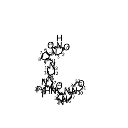 O=C1CCN(c2ccccc2CN2CCC(n3cc(NC(=O)c4cnn5ccc(N6CCOCC6)nc45)c(C(F)F)n3)CC2)C(=O)N1